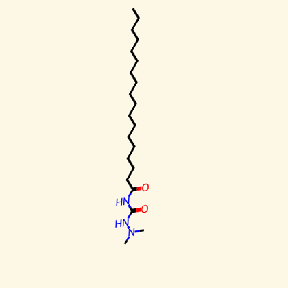 CCCCCCCCCCCCCCCCCC(=O)NC(=O)NN(C)C